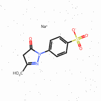 O=C(O)C1=NN(c2ccc(S(=O)(=O)[O-])cc2)C(=O)C1.[Na+]